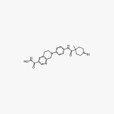 CCN1CCC(C)(C(=O)Nc2ccc(N3CCc4cc(C(=O)NO)cnc4C3)cc2)CC1